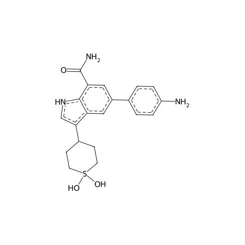 NC(=O)c1cc(-c2ccc(N)cc2)cc2c(C3CCS(O)(O)CC3)c[nH]c12